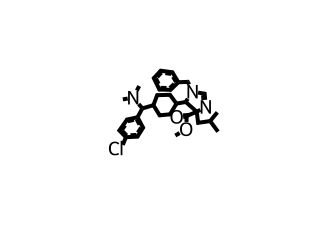 COC(=O)C1(CC(C)C)N=CN(Cc2ccccc2)C1C1CCC(C(c2ccc(Cl)cc2)N(C)C)CC1